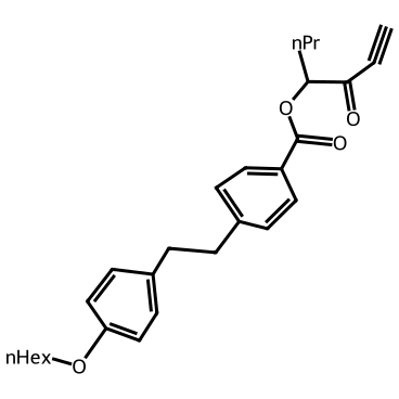 C#CC(=O)C(CCC)OC(=O)c1ccc(CCc2ccc(OCCCCCC)cc2)cc1